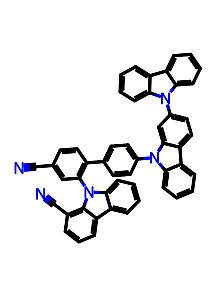 N#Cc1ccc(-c2ccc(-n3c4ccccc4c4ccc(-n5c6ccccc6c6ccccc65)cc43)cc2)c(-n2c3ccccc3c3cccc(C#N)c32)c1